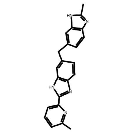 Cc1cccc(-c2nc3ccc(Cc4ccc5nc(C)[nH]c5c4)cc3[nH]2)n1